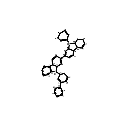 C1=CC(N2C3C=C(C4=CC5C(C=C4)c4ccccc4N5C4C=C(c5ccccc5)C=CC4)C=CC3C3C=CCCC32)=CCC1